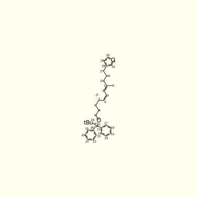 C/C(=C\C=C/[C@@H](C)CCCO[Si](c1ccccc1)(c1ccccc1)C(C)(C)C)CCCc1ccoc1